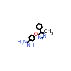 Cc1n[c]nc(Oc2ccc(C(=N)N)cc2)c1C1CCCCC1